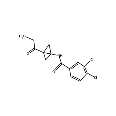 CCC(=O)C12CC1(NC(=O)c1ccc(Cl)c(Cl)c1)C2